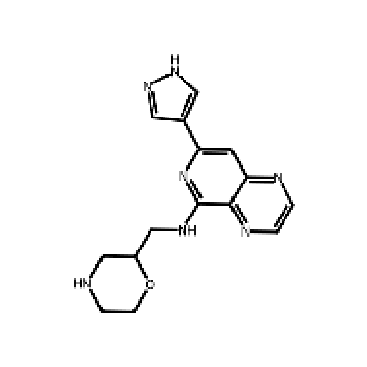 c1cnc2c(NCC3CNCCO3)nc(-c3cn[nH]c3)cc2n1